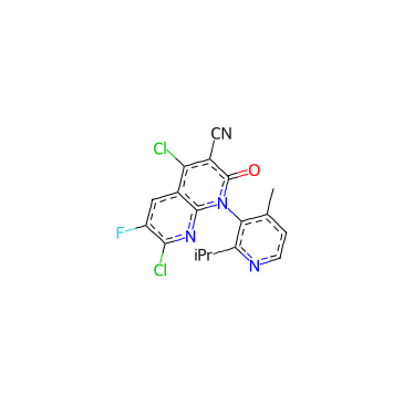 Cc1ccnc(C(C)C)c1-n1c(=O)c(C#N)c(Cl)c2cc(F)c(Cl)nc21